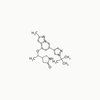 Cc1cc2c(OC(C)C3CNC(=O)C3)cc(-c3cnn(C(C)(C)C)c3)cn2n1